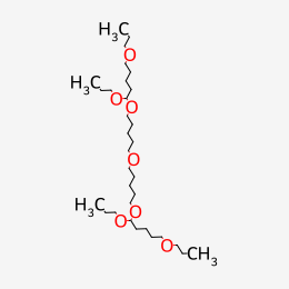 CCCOCCCCC(OCCC)OCCCCCOCCCCCOC(CCCCOCCC)OCCC